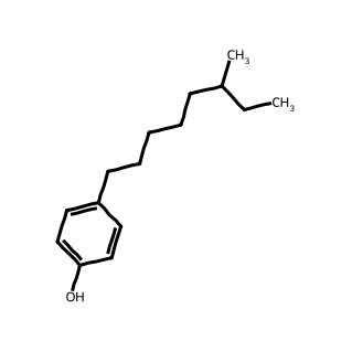 CCC(C)CCCCCc1ccc(O)cc1